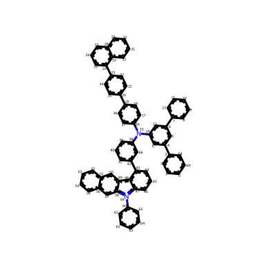 c1ccc(-c2cc(-c3ccccc3)cc(N(c3ccc(-c4ccc(-c5cccc6ccccc56)cc4)cc3)c3cccc(-c4cccc5c4c4cc6ccccc6cc4n5-c4ccccc4)c3)c2)cc1